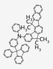 CC1(C)c2ccc(N(c3ccccc3)c3cccc(C4(c5ccccc5)c5ccccc5-c5ccccc54)c3)cc2-c2c1ccc1c2C(C)(C)c2cc3ccccc3cc2-1